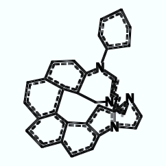 c1ccc(-n2c3ccc4ccc5ccc6ccc7c8cc9n7ccn9c7cccc2[n+]7Cc3c4c5c68)cc1